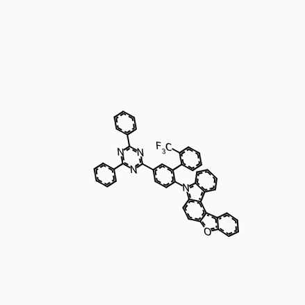 FC(F)(F)c1ccccc1-c1cc(-c2nc(-c3ccccc3)nc(-c3ccccc3)n2)ccc1-n1c2ccccc2c2c3c(ccc21)oc1ccccc13